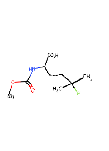 CC(C)(F)CCC(NC(=O)OC(C)(C)C)C(=O)O